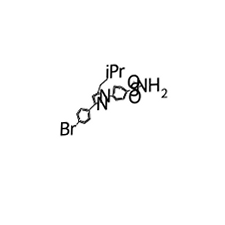 CC(C)CCc1cc(-c2ccc(Br)cc2)nn1-c1ccc(S(N)(=O)=O)cc1